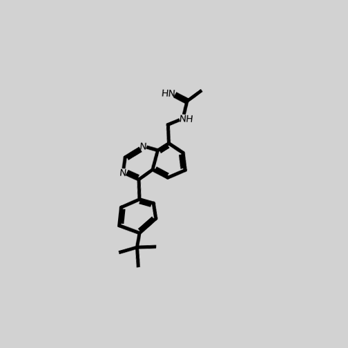 CC(=N)NCc1cccc2c(-c3ccc(C(C)(C)C)cc3)ncnc12